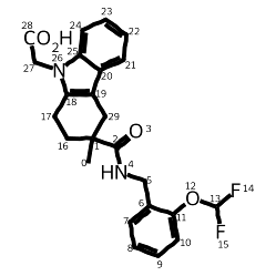 CC1(C(=O)NCc2ccccc2OC(F)F)CCc2c(c3ccccc3n2CC(=O)O)C1